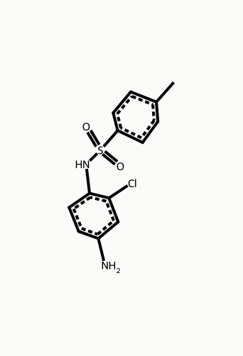 Cc1ccc(S(=O)(=O)Nc2ccc(N)cc2Cl)cc1